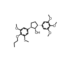 CCCOc1c(OC)cc([C@H]2CC[C@H](c3cc(OC)c(OC)c(OC)c3)[C@H]2O)cc1SC